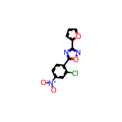 O=[N+]([O-])c1ccc(-c2nc(-c3ccco3)no2)c(Cl)c1